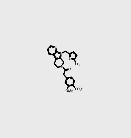 COc1cc(CC(=O)N2CCc3c(n(Cc4ccc(C(F)(F)F)s4)c4ncccc34)C2)ccc1C(=O)O